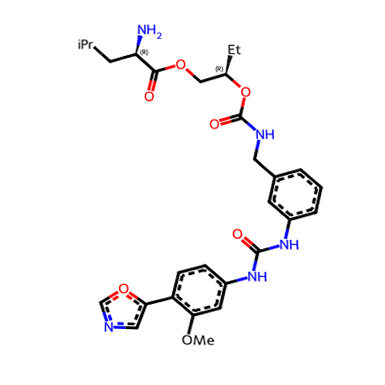 CC[C@H](COC(=O)[C@H](N)CC(C)C)OC(=O)NCc1cccc(NC(=O)Nc2ccc(-c3cnco3)c(OC)c2)c1